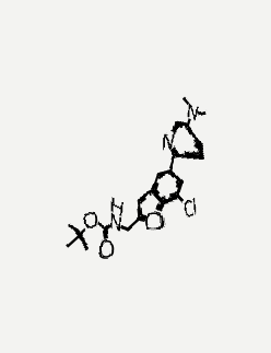 CN(C)c1ccc(-c2cc(Cl)c3oc(CNC(=O)OC(C)(C)C)cc3c2)nc1